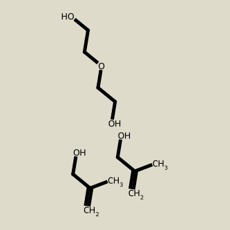 C=C(C)CO.C=C(C)CO.OCCOCCO